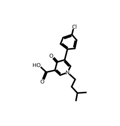 CC(C)CCn1cc(C(=O)O)c(=O)c(-c2ccc(Cl)cc2)c1